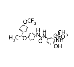 CC(Oc1ccc(NC(=O)Nc2ccc(O)c(NS(C)(=O)=O)c2)cc1)c1ccc(OC(F)(F)F)cc1